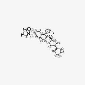 C[C@](N)(CO)c1ccc2c(C(F)(F)F)c(OC3CCC(c4ccccc4)CC3)ccc2c1